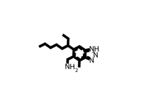 CCCCCC(CC)c1cc2[nH]nnc2c(C)c1CN